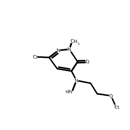 CCCN(CCOCC)c1cc(Cl)nn(C)c1=O